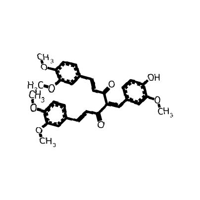 COc1cc(C=C(C(=O)/C=C/c2ccc(OC)c(OC)c2)C(=O)/C=C/c2ccc(OC)c(OC)c2)ccc1O